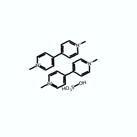 C[n+]1ccc(-c2cc[n+](C)cc2)cc1.C[n+]1ccc(-c2cc[n+](C)cc2)cc1.O=S(=O)(O)O